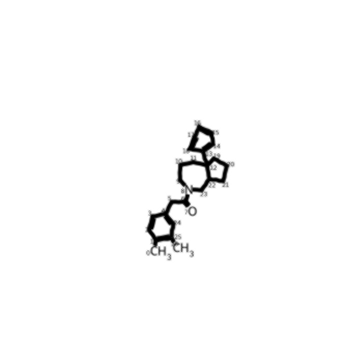 Cc1ccc(CC(=O)N2CCCC3(c4ccccc4)CCCC3C2)cc1C